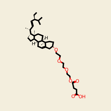 CC[C@H](/C=C/[C@@H](C)[C@H]1CCC2[C@@H]3CC=C4C[C@@H](OCCOCCOCCOC(=O)CCC(=O)O)CC[C@]4(C)[C@@H]3CC[C@@]21C)C(C)C